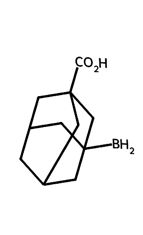 BC12CC3CC(C1)CC(C(=O)O)(C3)C2